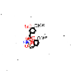 COc1ccc(/C=C\S(=O)(=O)NS(=O)(=O)/C=C/c2ccc(OC)c(O)c2)cc1O